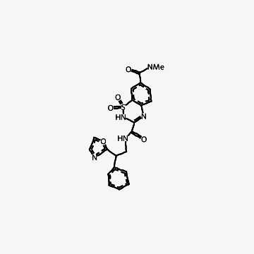 CNC(=O)c1ccc2c(c1)S(=O)(=O)NC(C(=O)NCC(c1ccccc1)c1ncco1)=N2